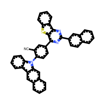 N#Cc1cc(-c2nc(-c3ccc4ccccc4c3)nc3c2sc2ccccc23)ccc1-n1c2ccccc2c2cc3ccccc3cc21